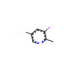 Cc1ncc(C(=O)O)cc1I